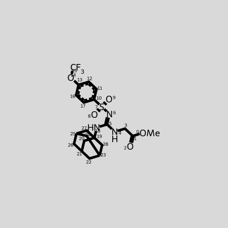 COC(=O)CN/C(=N/S(=O)(=O)c1ccc(OC(F)(F)F)cc1)NC12CC3CC(CC(C3)C1)C2